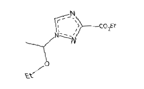 CCOC(=O)c1ncn(C(C)OCC)n1